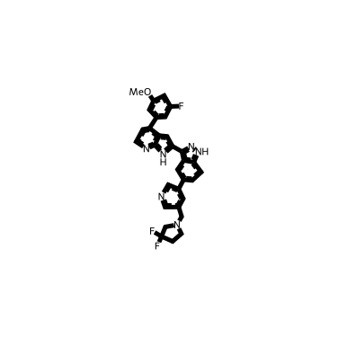 COc1cc(F)cc(-c2ccnc3[nH]c(-c4n[nH]c5ccc(-c6cncc(CN7CCC(F)(F)C7)c6)cc45)cc23)c1